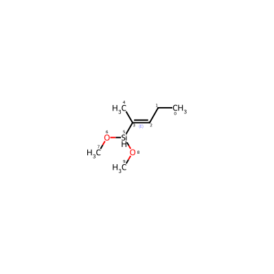 CC/C=C(\C)[SiH](OC)OC